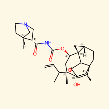 C=CC(C)[C@]1(C)C[C@@H](OC(=O)NC(=O)[C@H]2CN3CC[C@@H]2C3)[C@]23C[C@@H]2CCC2(CCC(=O)C23)[C@@H](C)[C@@H]1O